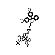 CCOC(=O)C(COCSSCCCOC(c1ccccc1)(c1ccc(OC)cc1)c1ccc(OC)cc1)(CO[Si](C)(C)C(C)(C)C)C(=O)OCC